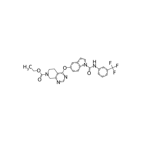 CCOC(=O)N1CCc2c(ncnc2Oc2ccc3c(ccn3C(=O)Nc3cccc(C(F)(F)F)c3)c2)C1